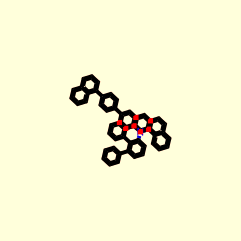 c1ccc(-c2ccccc2-c2c(-c3ccccc3)cccc2N(c2ccc(-c3ccc(-c4cccc5ccccc45)cc3)cc2)c2cccc3ccccc23)cc1